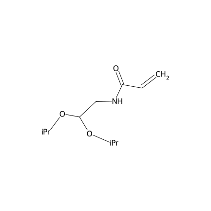 C=CC(=O)NCC(OC(C)C)OC(C)C